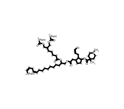 CC/C=C\CC1C(CC(=O)OCC(CCCCCCCC/C=C\C/C=C\CCCCC)OC(=O)CCCCC(COC(=O)CCCCC)COC(=O)CCCCC)CCC1OC(=O)C1(C)CCN(C)CC1